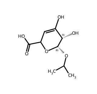 CC(C)O[C@@H]1OC(C(=O)O)C=C(O)[C@@H]1O